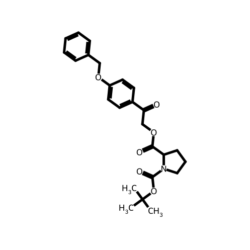 CC(C)(C)OC(=O)N1CCCC1C(=O)OCC(=O)c1ccc(OCc2ccccc2)cc1